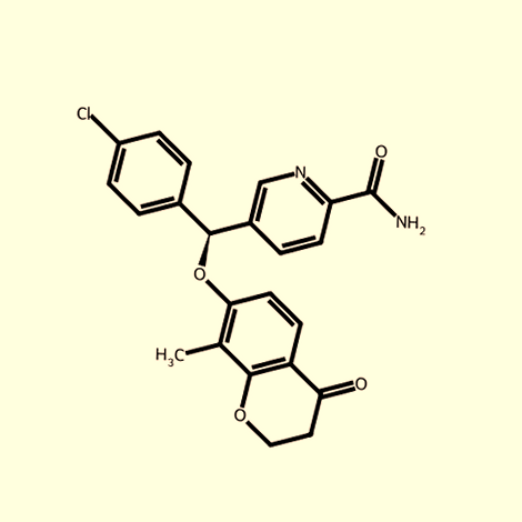 Cc1c(O[C@@H](c2ccc(Cl)cc2)c2ccc(C(N)=O)nc2)ccc2c1OCCC2=O